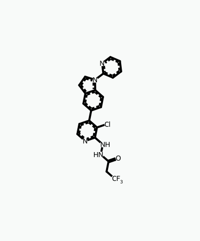 O=C(CC(F)(F)F)NNc1nccc(-c2ccc3c(ccn3-c3ccccn3)c2)c1Cl